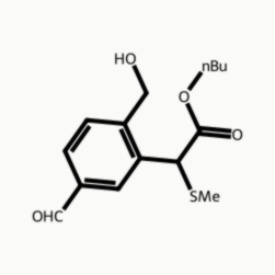 CCCCOC(=O)C(SC)c1cc(C=O)ccc1CO